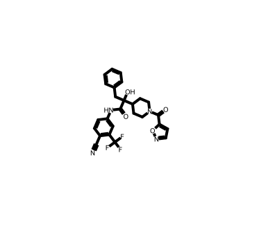 N#Cc1ccc(NC(=O)C(O)(Cc2ccccc2)C2CCN(C(=O)c3ccno3)CC2)cc1C(F)(F)F